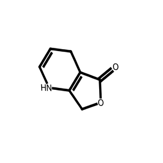 O=C1OCC2=C1CC=CN2